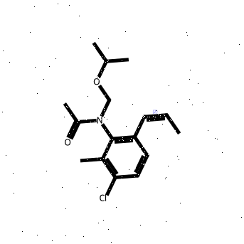 C/C=C\c1ccc(Cl)c(C)c1N(COC(C)C)C(C)=O